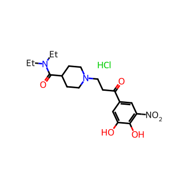 CCN(CC)C(=O)C1CCN(CCC(=O)c2cc(O)c(O)c([N+](=O)[O-])c2)CC1.Cl